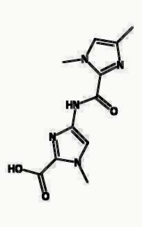 Cc1cn(C)c(C(=O)Nc2cn(C)c(C(=O)O)n2)n1